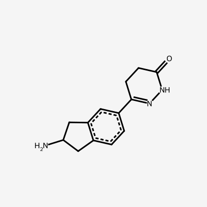 NC1Cc2ccc(C3=NNC(=O)CC3)cc2C1